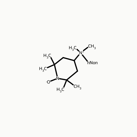 CCCCCCCCC[N+](C)(C)C1CC(C)(C)N([O])C(C)(C)C1